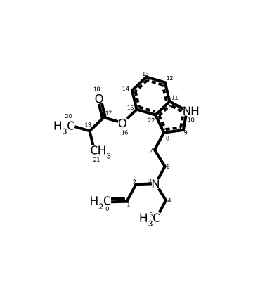 C=CCN(CC)CCc1c[nH]c2cccc(OC(=O)C(C)C)c12